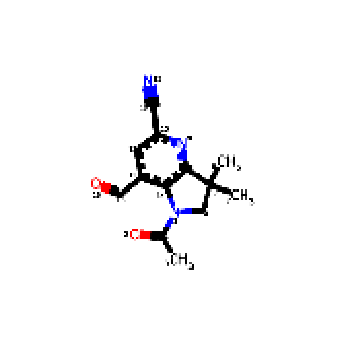 CC(=O)N1CC(C)(C)c2nc(C#N)cc(C=O)c21